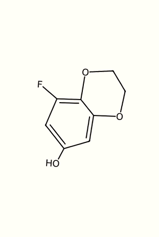 Oc1cc(F)c2c(c1)OCCO2